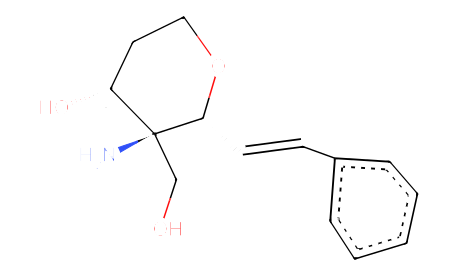 N[C@@]1(CO)[C@H](O)CCO[C@@H]1/C=C/c1ccccc1